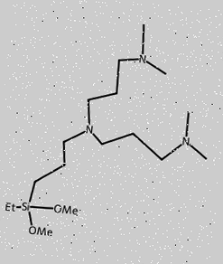 CC[Si](CCCN(CCCN(C)C)CCCN(C)C)(OC)OC